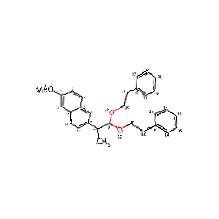 COc1ccc2cc(C(C)C(OCCc3ccccc3)OCCc3ccccc3)ccc2c1